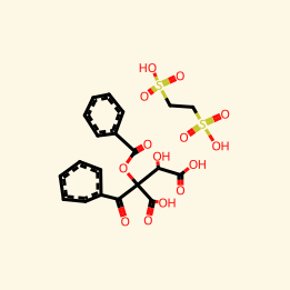 O=C(OC(C(=O)O)(C(=O)c1ccccc1)C(O)C(=O)O)c1ccccc1.O=S(=O)(O)CCS(=O)(=O)O